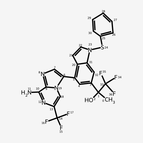 CC(O)(c1cc(-c2cnc3c(N)nc(C(F)(F)F)cn23)c2ccn(Sc3ccccc3)c2c1)C(F)(F)F